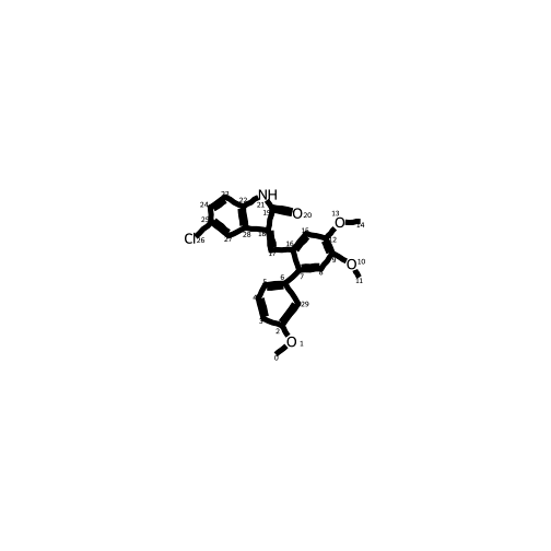 COc1cccc(-c2cc(OC)c(OC)cc2C=C2C(=O)Nc3ccc(Cl)cc32)c1